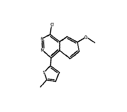 COc1ccc2c(-c3ccc(C)s3)nnc(Cl)c2c1